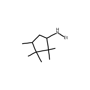 CCNC1CC(C)C(C)(C)C1(C)C